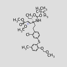 CCC[C@@](/C=C/P(=O)(OC)OC)(CCc1ccc(Sc2cc(C)ccc2OCOC)cc1Cl)NC(=O)OC(C)(C)C